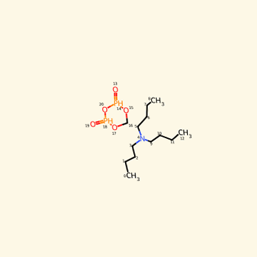 CCCCN(CCCC)CCCC.O=[PH]1OCO[PH](=O)O1